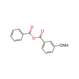 COc1cccc(C(=O)OC(=O)c2ccccc2)c1